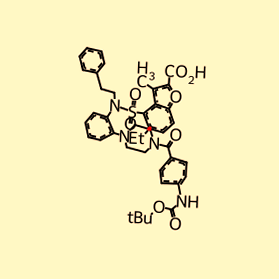 CCc1ccc2oc(C(=O)O)c(C)c2c1S(=O)(=O)N(CCc1ccccc1)c1ccccc1N1CCN(C(=O)c2ccc(NC(=O)OC(C)(C)C)cc2)CC1